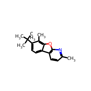 Cc1ccc2c(n1)oc1c(C)c(C(C)(C)C)ccc12